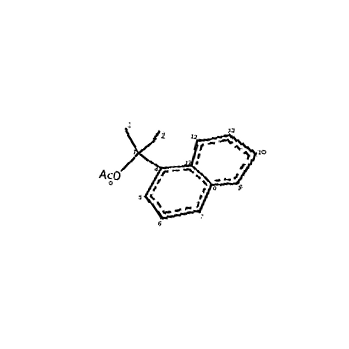 CC(=O)OC(C)(C)c1cccc2ccccc12